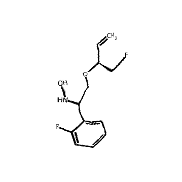 C=C[C@@H](CF)OCC(NO)c1ccccc1F